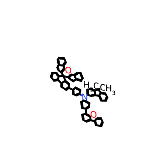 CC1(C)c2ccccc2-c2cc(N(c3ccc(-c4ccc5c(c4)C4(c6ccccc6-5)c5ccc6ccccc6c5Oc5c4ccc4ccccc54)cc3)c3ccc(-c4cccc5c4oc4ccccc45)cc3)ccc21